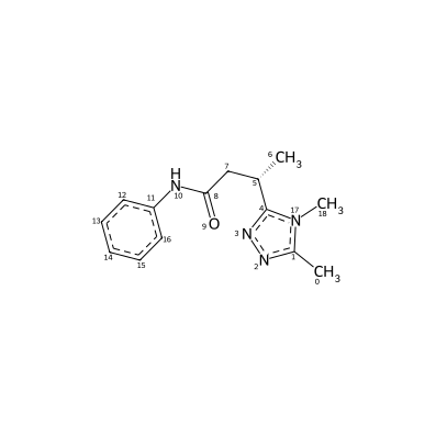 Cc1nnc([C@@H](C)CC(=O)Nc2ccccc2)n1C